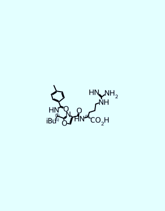 CC[C@H](C)[C@H](NC(=O)c1ccc(C)cc1)c1nc(C(=O)N[C@@H](CCCNC(=N)N)C(=O)O)co1